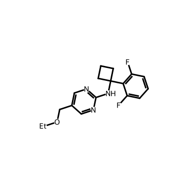 CCOCc1cnc(NC2(c3c(F)cccc3F)CCC2)nc1